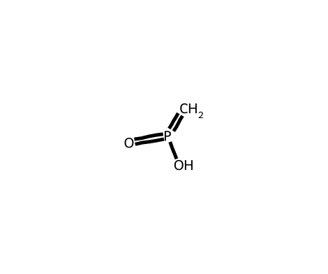 C=P(=O)O